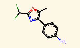 Cc1oc(C(F)F)nc1-c1ccc(N)cc1